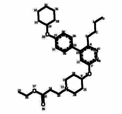 CCCCc1nnc(OC2CCN(CCC(=O)OCC)CC2)cc1-c1ccc(OC2CCCCC2)cc1